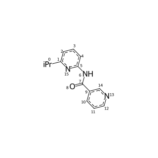 CC(C)c1cccc(NC(=O)c2cccnc2)n1